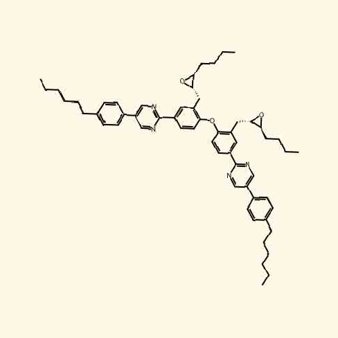 CCCCCCc1ccc(-c2cnc(-c3ccc(Oc4ccc(-c5ncc(-c6ccc(CCCCCC)cc6)cn5)cc4C[C@@H]4O[C@H]4CCCC)c(C[C@@H]4O[C@H]4CCCC)c3)nc2)cc1